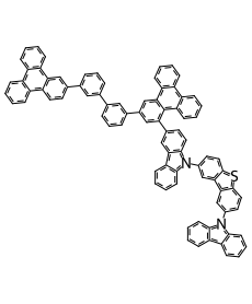 c1cc(-c2cccc(-c3cc(-c4ccc5c(c4)c4ccccc4n5-c4ccc5sc6ccc(-n7c8ccccc8c8ccccc87)cc6c5c4)c4c5ccccc5c5ccccc5c4c3)c2)cc(-c2ccc3c4ccccc4c4ccccc4c3c2)c1